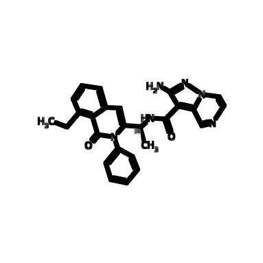 CCc1cccc2cc([C@H](C)NC(=O)c3c(N)nn4ccncc34)n(-c3ccccc3)c(=O)c12